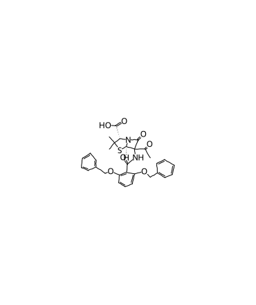 CC(=O)C1(NC(=O)c2c(OCc3ccccc3)cccc2OCc2ccccc2)C(=O)N2[C@@H](C(=O)O)C(C)(C)S[C@@H]21